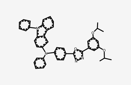 CC(C)Oc1cc(OC(C)C)cc(-c2nnc(-c3ccc(N(c4ccccc4)c4ccc5c(c4)c4ccccc4n5-c4ccccc4)cc3)o2)c1